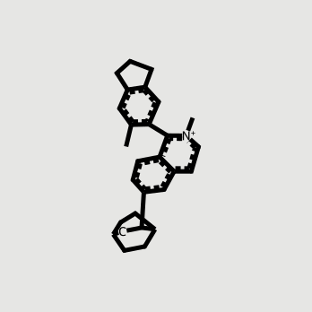 Cc1cc2c(cc1-c1c3ccc(C4CC5CCC4CC5)cc3cc[n+]1C)CCC2